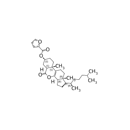 CC(C)CCC[C@@H](C)[C@H]1CC[C@H]2C3=C(CC[C@]12C)[C@@]1(C)CC[C@H](OC(=O)c2ccco2)C[C@@H]1C(=O)O3